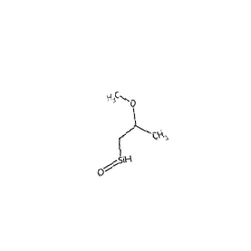 COC(C)C[SiH]=O